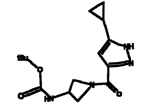 CC(C)(C)OC(=O)NC1CN(C(=O)c2cc(C3CC3)[nH]n2)C1